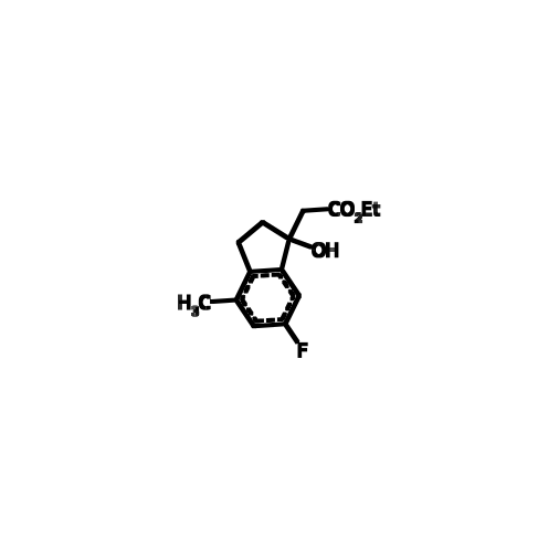 CCOC(=O)CC1(O)CCc2c(C)cc(F)cc21